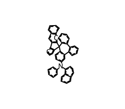 c1ccc(N(c2ccc3c(c2)-c2ccccc2-c2ccccc2C32c3ccccc3-c3cc4ccccc4cc32)c2cccc3ccccc23)cc1